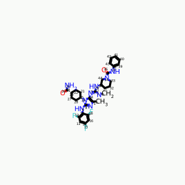 C=N/C(=N\c1c(C)nc(Nc2c(F)cc(F)cc2F)n1[C@H]1CC[C@@H](C(N)=O)CC1)N[C@@H]1CCCN(C(=O)Nc2ccccc2)C1